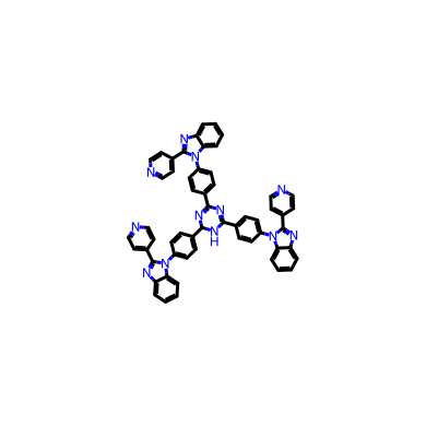 c1ccc2c(c1)nc(-c1ccncc1)n2-c1ccc(C2=NC(c3ccc(-n4c(-c5ccncc5)nc5ccccc54)cc3)NC(c3ccc(-n4c(-c5ccncc5)nc5ccccc54)cc3)=N2)cc1